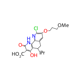 COCCCOc1cc2c(nc1Cl)-c1[nH]c(=O)c(C(=O)O)c(O)c1C(C(C)C)C2